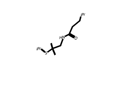 CC(C)CCC(=O)NCC(C)(C)SC(C)C